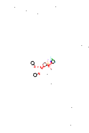 CCOC(=O)C1=CC2(CCC1S(=O)(=O)Nc1ccc(F)cc1Cl)O[C@H](COC(=O)c1ccccc1)[C@@H](COC(=O)c1ccccc1)O2